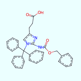 O=C(O)CCc1cn(C(c2ccccc2)(c2ccccc2)c2ccccc2)c(NC(=O)OCc2ccccc2)n1